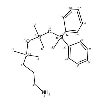 C[Si](C)(CCCN)O[Si](C)(C)O[Si](C)(c1ccccc1)c1ccccc1